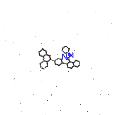 c1ccc2c(c1)cc(-c1ccc3c4ccc5ccccc5c4c4nc5ccccc5n4c3c1)c1ccccc12